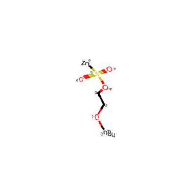 CCCCOCCO[S](=O)(=O)[Zn]